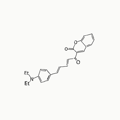 CCN(CC)c1ccc(C=CC=CC(=O)c2cc3ccccc3oc2=O)cc1